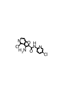 Nc1c(C(=O)Nc2ccc(Cl)cn2)oc2ccnc(Cl)c12